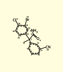 CC(C(N)=O)(c1cccc(C#N)c1)c1cc(Br)c(Cl)cn1